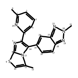 Cc1cccc(-c2nc3scc(C)n3c2-c2ccc3nn(C)nc3c2)n1